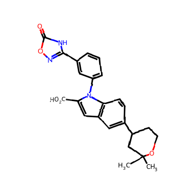 CC1(C)CC(c2ccc3c(c2)cc(C(=O)O)n3-c2cccc(-c3noc(=O)[nH]3)c2)CCO1